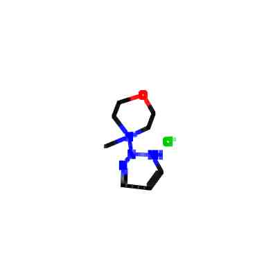 C[N+]1(N2N=CC=CN2)CCOCC1.[Cl-]